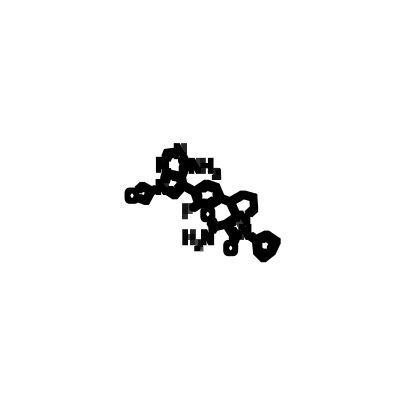 NC(=O)c1c2n(n(-c3ccccc3)c1=O)CCCC2c1ccc(-c2cn(C3COC3)c3ncnc(N)c23)c(F)c1